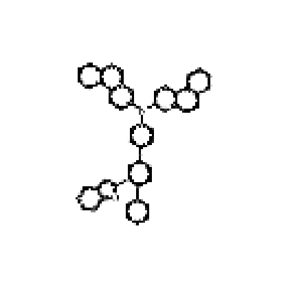 c1ccc(-c2ccc(-c3ccc(N(c4ccc5c(ccc6ccccc65)c4)c4ccc5c(ccc6ccccc65)c4)cc3)cc2-c2cc3ccccc3o2)cc1